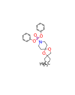 CCC1(CC)COC2(CCN(P(=O)(Oc3ccccc3)Oc3ccccc3)CC2)O1